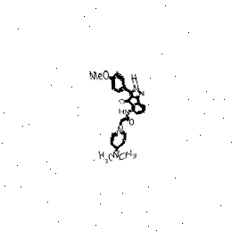 COc1ccc(-c2[nH]nc3c2C(=O)c2c(NC(=O)CN4CCC(N(C)C)CC4)cccc2-3)cc1